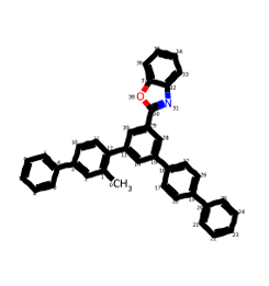 Cc1cc(-c2ccccc2)ccc1-c1cc(-c2ccc(-c3ccccc3)cc2)cc(-c2nc3ccccc3o2)c1